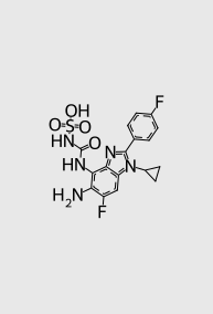 Nc1c(F)cc2c(nc(-c3ccc(F)cc3)n2C2CC2)c1NC(=O)NS(=O)(=O)O